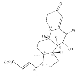 CCOC(=O)C=C[C@@H](C)[C@H]1CC[C@H]2[C@@H]3C(O)C(CC)C4=CC(=O)CC[C@]4(C)[C@H]3CC[C@]12C